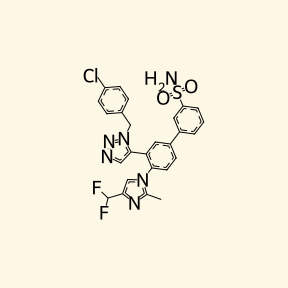 Cc1nc(C(F)F)cn1-c1ccc(-c2cccc(S(N)(=O)=O)c2)cc1-c1cnnn1Cc1ccc(Cl)cc1